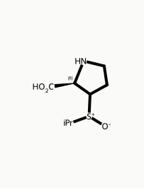 CC(C)[S+]([O-])C1CCN[C@@H]1C(=O)O